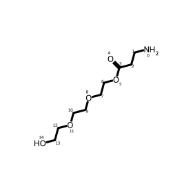 NCCC(=O)OCCOCCOCCO